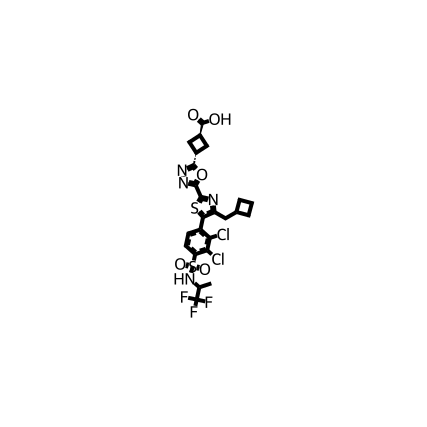 CC(NS(=O)(=O)c1ccc(-c2sc(-c3nnc([C@H]4C[C@H](C(=O)O)C4)o3)nc2CC2CCC2)c(Cl)c1Cl)C(F)(F)F